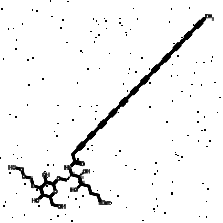 CC#CC#CC#CC#CC#CC#CC#CC#CC#CC#CC#CC#CCC(=O)N[C@@H](COC1OC(CO)C(O)C(OSOOO)C1O)[C@H](O)[C@H](O)CCCCCCCCCCCCC